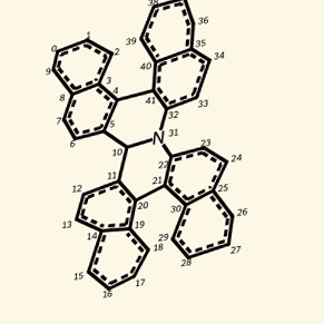 c1ccc2c3c(ccc2c1)C1c2ccc4ccccc4c2-c2c(ccc4ccccc24)N1c1ccc2ccccc2c1-3